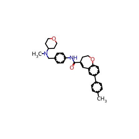 Cc1ccc(-c2ccc3c(c2)C=C(C(=O)Nc2ccc(CN(C)C4CCOCC4)cc2)CCO3)cc1